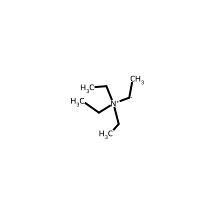 C[CH][N+](CC)(CC)CC